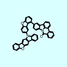 O=c1c2ccccc2c2cccc3c4cc(-c5cccc6oc7ccc(-n8c9ccccc9c9cc%10oc%11ccccc%11c%10cc98)cc7c56)ccc4n1c23